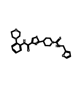 O=C(Nc1ccccc1N1CCOCC1)c1csc(C2CCN(C(=S)NCc3ccco3)CC2)n1